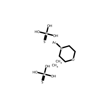 C.C.CC(=O)N1CCOCC1.OP(O)(O)=S.OP(O)(O)=S